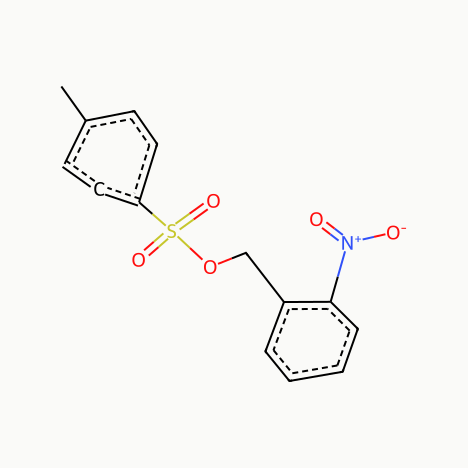 Cc1ccc(S(=O)(=O)OCc2ccccc2[N+](=O)[O-])cc1